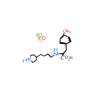 Cl.O.O=C(O)C(Cc1ccc(O)cc1)NCCCCC1CCNCC1